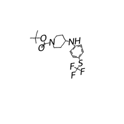 CC(C)(C)OC(=O)N1CCC(Nc2ccc(SC(F)(F)F)cc2)CC1